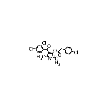 Cc1nn(C)c(OC(=O)Cc2ccc(Cl)cc2)c1C(=O)c1ccc(Cl)cc1Cl